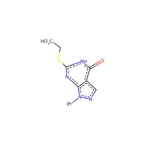 CC(C)n1ncc2c(=O)[nH]c(SCC(=O)O)nc21